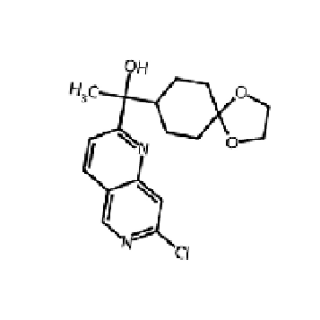 CC(O)(c1ccc2cnc(Cl)cc2n1)C1CCC2(CC1)OCCO2